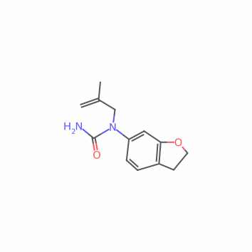 C=C(C)CN(C(N)=O)c1ccc2c(c1)OCC2